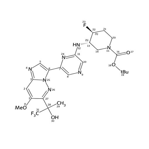 COc1cc2ncc(-c3cncc(N[C@H]4CN(C(=O)OC(C)(C)C)CC[C@@H]4F)n3)n2nc1C(C)(O)C(F)(F)F